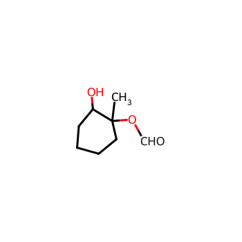 CC1(OC=O)CCCCC1O